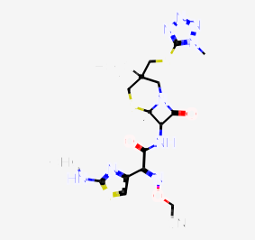 Cn1nnnc1SCC1(C(=O)O)CS[C@@H]2C(NC(=O)C(=NOCC#N)c3csc(NC=O)n3)C(=O)N2C1